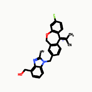 CCCc1nc2c(CO)cccc2n1Cc1ccc2c(c1)COc1cc(F)ccc1/C2=C(\C)C#N